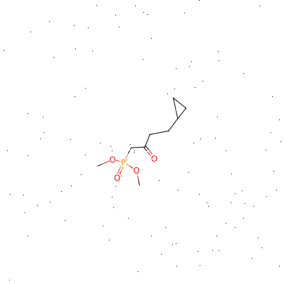 COP(=O)(CC(=O)CCC1CC1)OC